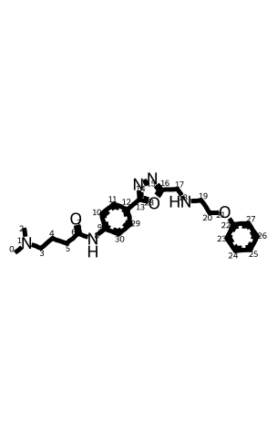 CN(C)CCCC(=O)Nc1ccc(-c2nnc(CNCCOc3ccccc3)o2)cc1